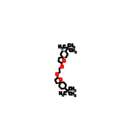 CC(C)(C)C1CCC2(CCC(OCCOC3CCC4(CCC(C(C)(C)C)CC4)O3)O2)CC1